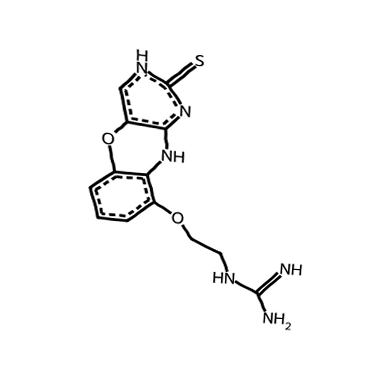 N=C(N)NCCOc1cccc2c1Nc1nc(=S)[nH]cc1O2